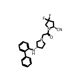 N#C[C@@H]1CC(F)(F)CN1C(=O)CN1CC[C@H](Nc2ccccc2-c2ccccc2)C1